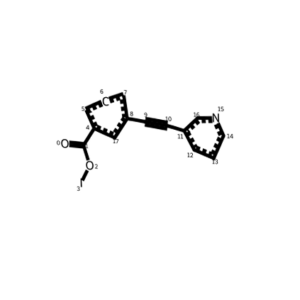 O=C(OI)c1cccc(C#Cc2cccnc2)c1